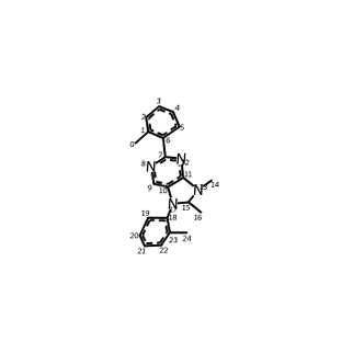 Cc1ccccc1-c1ncc2c(n1)N(C)C(C)N2c1ccccc1C